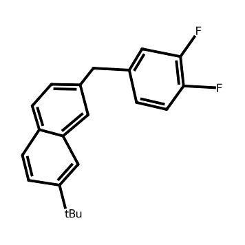 CC(C)(C)c1ccc2ccc(Cc3ccc(F)c(F)c3)cc2c1